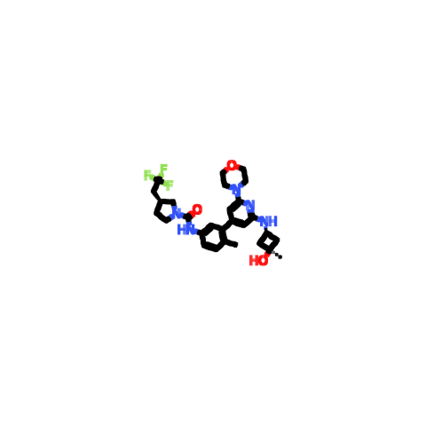 Cc1ccc(NC(=O)N2CC[C@@H](CC(F)(F)F)C2)cc1-c1cc(N[C@H]2C[C@](C)(O)C2)nc(N2CCOCC2)c1